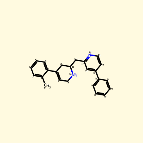 Cc1ccccc1C1=CCNC(Cc2cc(-c3ccccc3)ccn2)C1